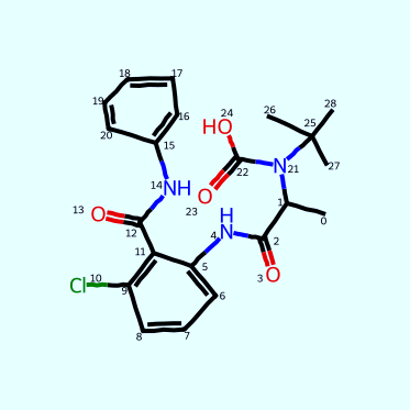 CC(C(=O)Nc1cccc(Cl)c1C(=O)Nc1ccccc1)N(C(=O)O)C(C)(C)C